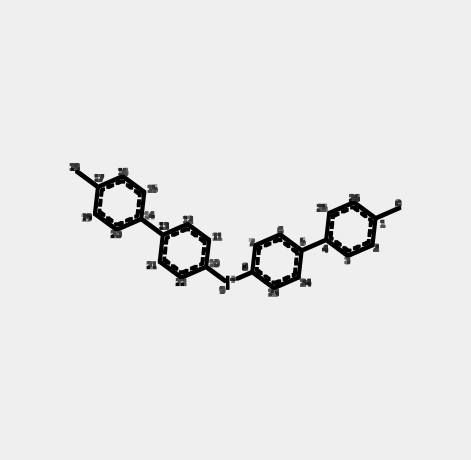 Cc1ccc(-c2ccc([I+]c3ccc(-c4ccc(C)cc4)cc3)cc2)cc1